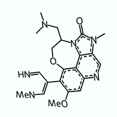 CN/C=C(\C=N)c1c(OC)cc2ncc3c4c2c1OCC(CN(C)C)n4c(=O)n3C